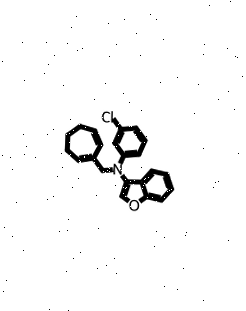 Clc1cccc(N(CC2=CCCCC=C2)c2coc3ccccc23)c1